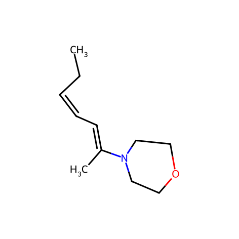 CC/C=C\C=C(/C)N1CCOCC1